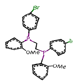 COc1ccccc1P(CCP(c1ccc(Br)cc1)c1ccccc1OC)c1ccc(Br)cc1